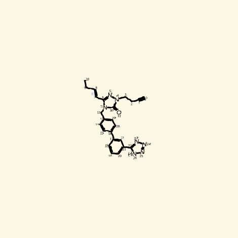 C#CCCn1nc(/C=C/CC)n(Cc2ccc(-c3cccc(-c4nnn[nH]4)c3)cc2)c1=O